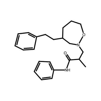 CC(CN1CC(CCc2ccccc2)CCCO1)C(=O)Nc1ccccc1